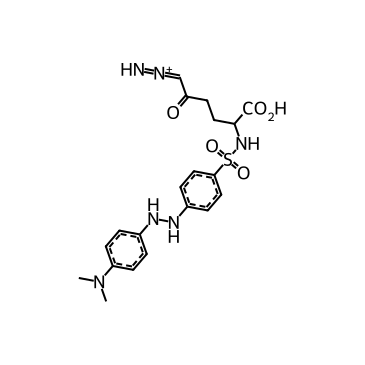 CN(C)c1ccc(NNc2ccc(S(=O)(=O)NC(CCC(=O)C=[N+]=N)C(=O)O)cc2)cc1